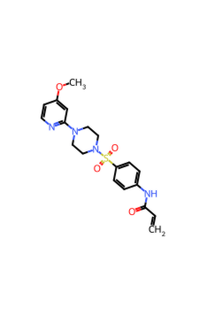 C=CC(=O)Nc1ccc(S(=O)(=O)N2CCN(c3cc(OC)ccn3)CC2)cc1